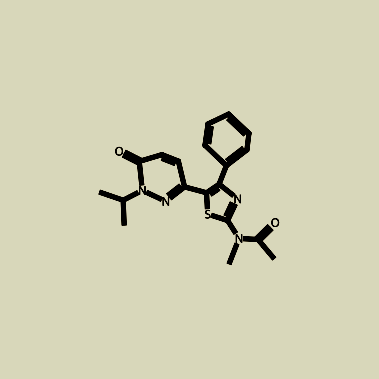 CC(=O)N(C)c1nc(-c2ccccc2)c(-c2ccc(=O)n(C(C)C)n2)s1